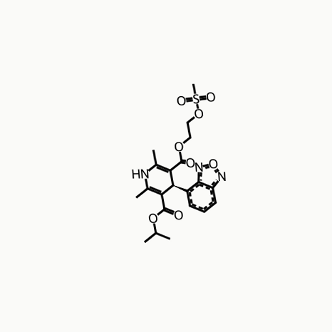 CC1=C(C(=O)OCCOS(C)(=O)=O)[C@@H](c2cccc3nonc23)C(C(=O)OC(C)C)=C(C)N1